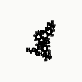 CN(C)C=CC(=O)c1cccc2c1N(S(=O)(=O)c1ccc(OC(F)(F)F)cc1)Cc1ccc(C(F)(F)F)nc1N2